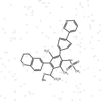 Cc1c(-c2ccc(-c3cccnc3)cc2)c(NS(C)(=O)=O)c(C)c(C(OC(C)(C)C)C(=O)O)c1-c1ccc2c(c1)CCCO2